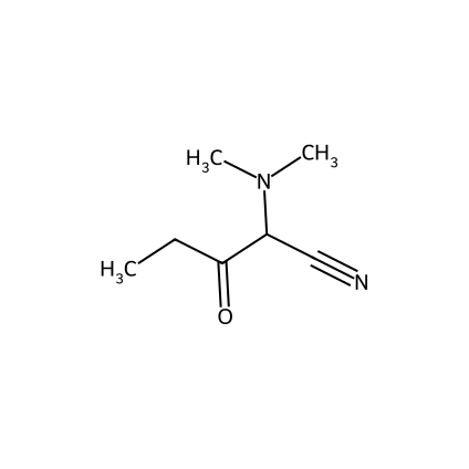 CCC(=O)C(C#N)N(C)C